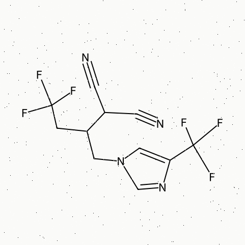 N#CC(C#N)C(Cn1cnc(C(F)(F)F)c1)CC(F)(F)F